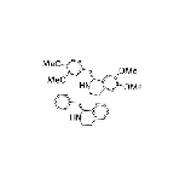 C(=C1/NCCc2ccccc21)/c1ccccc1.COc1ccc(/C=C2\NCCc3cc(OC)c(OC)cc32)cc1OC